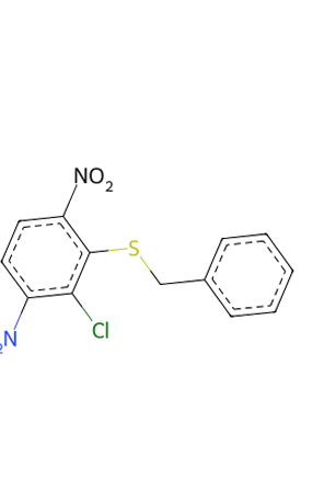 Nc1ccc([N+](=O)[O-])c(SCc2ccccc2)c1Cl